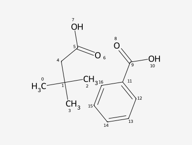 CC(C)(C)CC(=O)O.O=C(O)c1ccccc1